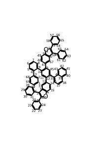 c1ccc(-c2ccccc2-c2cc(-c3ccc4oc(-c5ccccc5)c(-c5ccccc5)c4c3)c(-c3cccc4ccccc34)cc2-c2ccc3oc(-c4ccccc4)c(-c4ccccc4)c3c2)cc1